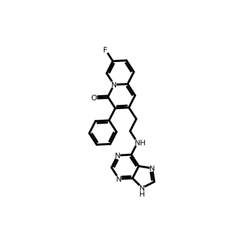 O=c1c(-c2ccccc2)c(CCNc2ncnc3[nH]cnc23)cc2ccc(F)cn12